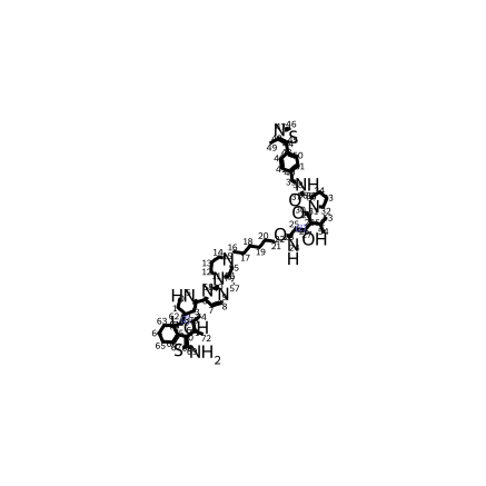 CC/C(CC(=N)c1ccnc(N2CCCN(CCCCCCOC(=N)/C=C(\O)C(C(=O)N3CCC[C@H]3C(=O)NCc3ccc(-c4scnc4C)cc3)C(C)C)C[C@@H]2C)n1)=C(/O)[C@@]1(C)CCCc2sc(N)c(C(C)CC)c21